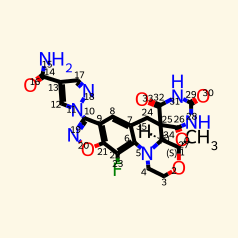 C[C@@H]1OCCN2c3c(cc4c(-n5cc(C(N)=O)cn5)noc4c3F)CC3(C(=O)NC(=O)NC3=O)[C@@H]12